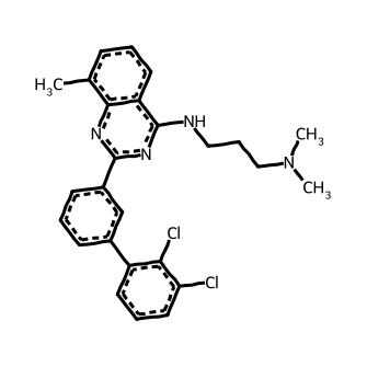 Cc1cccc2c(NCCCN(C)C)nc(-c3cccc(-c4cccc(Cl)c4Cl)c3)nc12